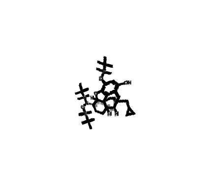 CC(C)(C)[Si](C)(C)Oc1cc(O)c2c3c1O[C@H]1[C@@H](N(O[Si](C)(C)C(C)(C)C)[Si](C)(C)C(C)(C)C)CC[C@H]4[C@@H](C2)N(CC2CC2)CC[C@@]341